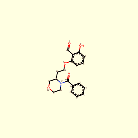 O=Cc1c(O)cccc1OCC[C@@H]1COCCN1C(=O)c1ccccc1